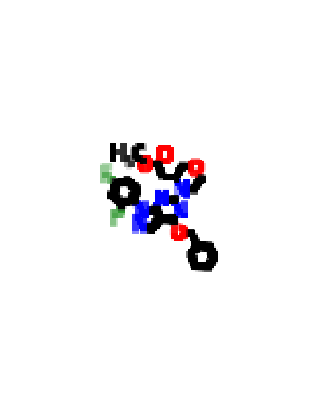 COC(=O)C[C@@H]1COCCN1c1nc(OCc2ccccc2)c2cnn(-c3ccc(F)cc3F)c2n1